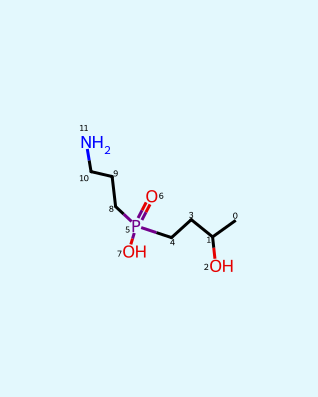 CC(O)CCP(=O)(O)CCCN